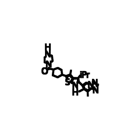 Cc1c(-c2[nH]c3sc(C4CCC(C(=O)N5CCNCC5)CC4)c(C)c3c2C(C)C)cn2ncnc2c1C